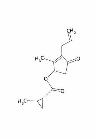 C=CCC1=C(C)C(OC(=O)[C@@H]2CC2C)CC1=O